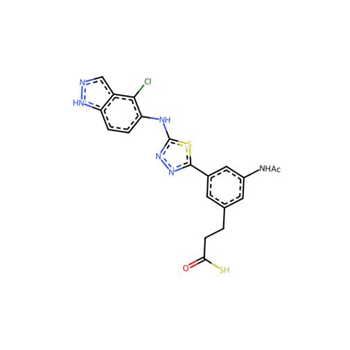 CC(=O)Nc1cc(CCC(=O)S)cc(-c2nnc(Nc3ccc4[nH]ncc4c3Cl)s2)c1